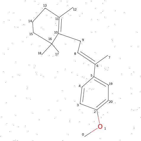 COc1ccc(C(C)=CCC2=C(C)CCCC2(C)C)cc1